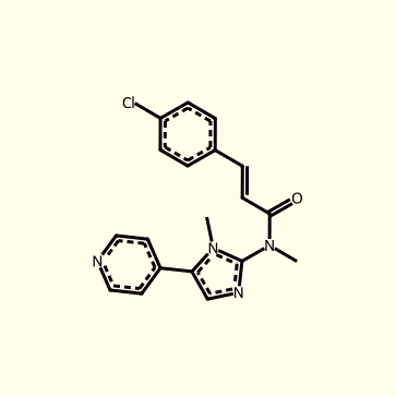 CN(C(=O)C=Cc1ccc(Cl)cc1)c1ncc(-c2ccncc2)n1C